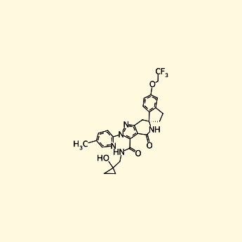 Cc1ccc(-n2nc3c(c2C(=O)NCC2(O)CC2)C(=O)N[C@@]2(CCc4cc(OCC(F)(F)F)ccc42)C3)nc1